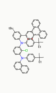 CCC(C)(C)c1ccc(N(c2ccc(C(C)(C)C)cc2-c2ccc3c4ccccc4c4ccccc4c3c2)c2cccc(N(c3ccc(C(C)(C)CC)cc3)c3cccc4ccccc34)c2Cl)cc1